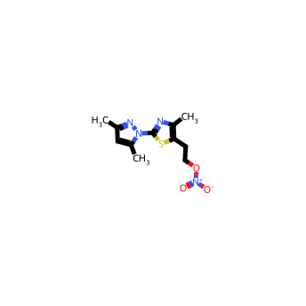 Cc1cc(C)n(-c2nc(C)c(CCO[N+](=O)[O-])s2)n1